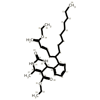 C=C(C=CCC(CCCCCCCCC)c1ccccc1C1NC(=O)NC(C)=C1C(=O)OCC)OCC